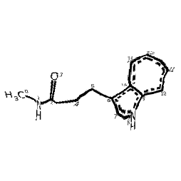 CNC(=O)CCc1c[nH]c2ccccc12